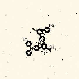 CCc1ccc(N(c2ccccc2)c2ccc3c(c2)-n2c4c(c5cc6c(cc52)C2C=C(C(C)C)C=C5c7cc(C(C)(C)C)ccc7N6C52)C=C(C(C)(C)I)CC34)cc1